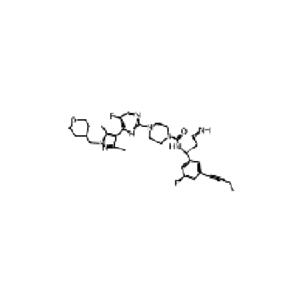 CCC#Cc1cc(F)cc([C@H](CC=N)NC(=O)N2CCN(c3ncc(F)c(-c4c(C)nn(CC5CCOCC5)c4C)n3)CC2)c1